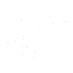 CC1(C)C(NC(=O)C(=NOC(COc2ccc3c(NCCN)nccc3c2)C(=O)O)c2csc(N)n2)C(=O)N1OS(=O)(=O)O.O=C(O)C(F)(F)F